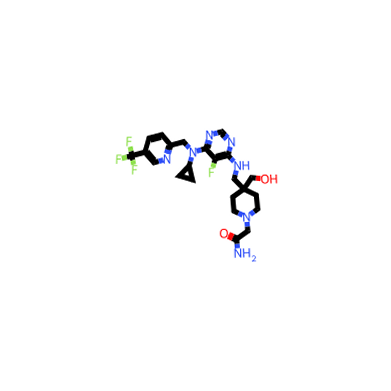 NC(=O)CN1CCC(CO)(CNc2ncnc(N(Cc3ccc(C(F)(F)F)cn3)C3CC3)c2F)CC1